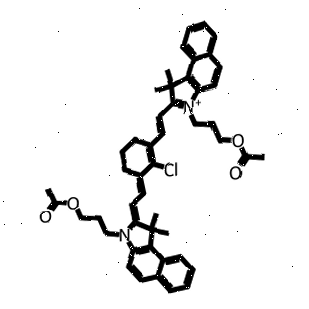 CC(=O)OCCCN1/C(=C/C=C2\CCCC(/C=C/C3=[N+](CCCOC(C)=O)c4ccc5ccccc5c4C3(C)C)=C2Cl)C(C)(C)c2c1ccc1ccccc21